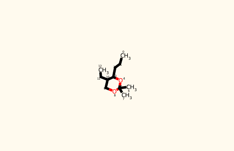 CCCC1OC(C)(C)OCC1CC